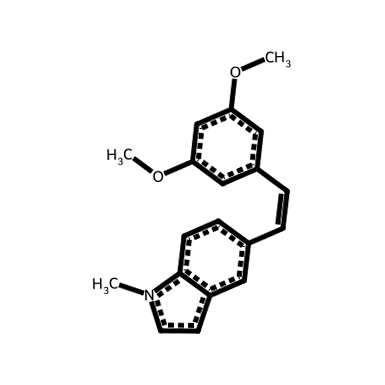 COc1cc(/C=C\c2ccc3c(ccn3C)c2)cc(OC)c1